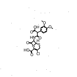 COc1ccc(C(C(=O)O)C(=O)NC2C(=O)N3C(C(=O)O)=C(Cl)CS[C@H]23)cc1OC